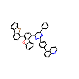 c1ccc(-c2cc(-c3ccc(-c4cccc5c4sc4ccccc45)c4oc5ccccc5c34)nc(-c3ccc(-c4cccc5ncccc45)cc3)n2)cc1